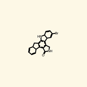 O=C1NCc2c1c1c(c3c2C2C=C(Br)C=CC2N3)CC2C=CC=CC12